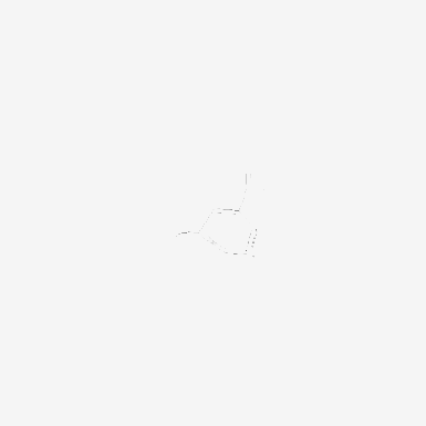 Bc1cncc(S)c1